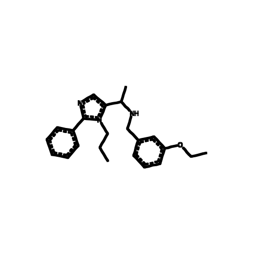 CCCn1c(C(C)NCc2cccc(OCC)c2)cnc1-c1ccccc1